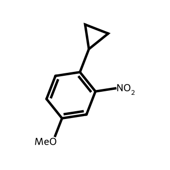 COc1ccc(C2CC2)c([N+](=O)[O-])c1